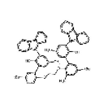 Cc1cc(-c2cc(C(C)(C)C)ccc2OCCOc2c(C)cc(C(C)(C)C)cc2-c2cc(C)cc(-n3c4ccccc4c4ccccc43)c2O)c(O)c(-n2c3ccccc3c3ccccc32)c1